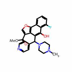 COC(=O)c1coc2c1c(C(c1ccncc1)N1CCN(C)CC1)c(O)c1c(F)cccc12